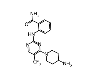 NC(=O)c1ccccc1Nc1ncc(C(F)(F)F)c(N2CCC(N)CC2)n1